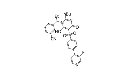 CCCCc1nc(=O)c(S(=O)(=O)c2ccc(-c3ccncc3F)cc2)c(O)n1C(CC)c1cccc(C#N)c1